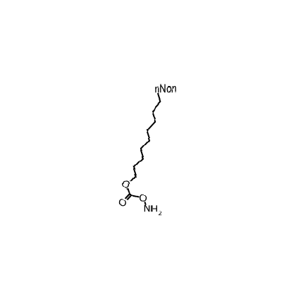 CCCCCCCCCCCCCCCCCCOC(=O)ON